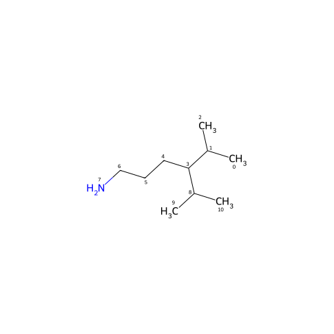 CC(C)C(CCCN)C(C)C